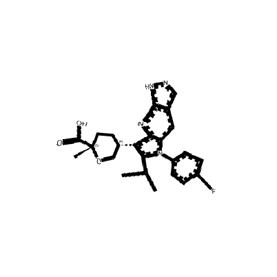 CC(C)c1c([C@H]2CC[C@@](C)(C(=O)O)OC2)c2nc3[nH]ncc3cc2n1-c1ccc(F)cc1